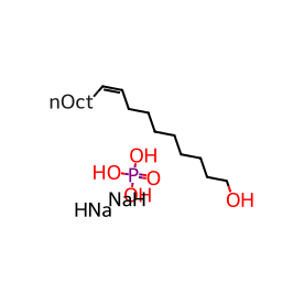 CCCCCCCC/C=C\CCCCCCCCO.O=P(O)(O)O.[NaH].[NaH]